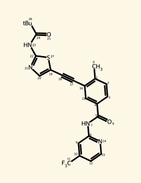 Cc1ccc(C(=O)Nc2cc(C(F)(F)F)ccn2)cc1C#Cc1cnc(NC(=O)C(C)(C)C)s1